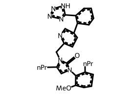 CCCc1cccc(OC)c1-n1cc(CCC)n(Cc2ccc(-c3ccccc3-c3nnn[nH]3)cn2)c1=O